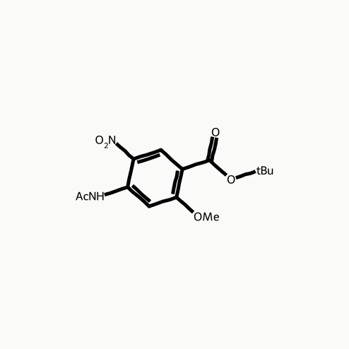 COc1cc(NC(C)=O)c([N+](=O)[O-])cc1C(=O)OC(C)(C)C